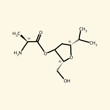 CC(C)[C@H]1CC(OC(=O)[C@H](C)N)[C@@H](CO)O1